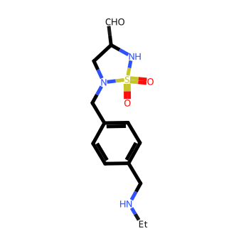 CCNCc1ccc(CN2CC(C=O)NS2(=O)=O)cc1